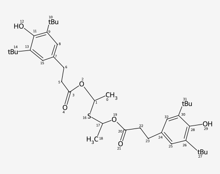 CC(OC(=O)CCc1cc(C(C)(C)C)c(O)c(C(C)(C)C)c1)SC(C)OC(=O)CCc1cc(C(C)(C)C)c(O)c(C(C)(C)C)c1